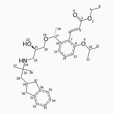 CCOC(=O)/C=C/c1c(OC(C)C)cccc1[C@@H](C)OC[C@H](O)CNC(C)(C)CC1Cc2ccccc2C1